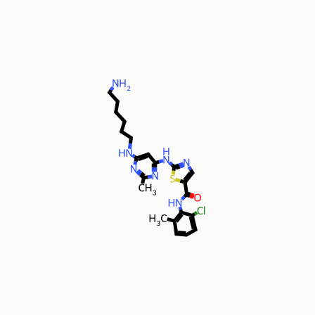 Cc1nc(NCCCCCCN)cc(Nc2ncc(C(=O)Nc3c(C)cccc3Cl)s2)n1